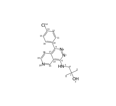 CC(C)(O)CNc1nnc(-c2ccc(Cl)cc2)c2ccncc12